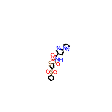 O=C(NS(=O)(=O)c1cc(S(=O)(=O)c2ccccc2)cs1)c1ccc(-n2cccn2)nc1